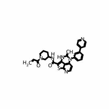 C=CC(=O)N1CCCC(NC(=O)c2sc3nccc4c3c2[nH]c(=C)n4-c2cccc(-c3ccncc3)c2)C1